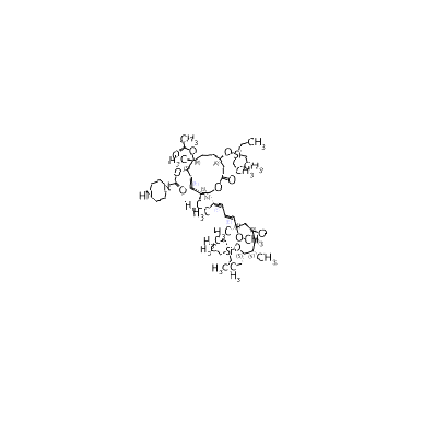 CC[C@H](O[Si](CC)(CC)CC)[C@@H](C)[C@H]1O[C@@H]1C[C@](C)(/C=C/C=C(\C)[C@H]1OC(=O)C[C@H](O[Si](CC)(CC)CC)CC[C@@](C)(OC(C)=O)[C@@H](OC(=O)N2CCNCC2)/C=C/[C@@H]1C)OC